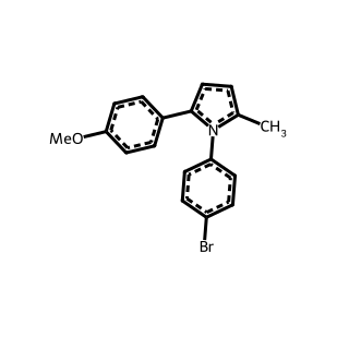 COc1ccc(-c2ccc(C)n2-c2ccc(Br)cc2)cc1